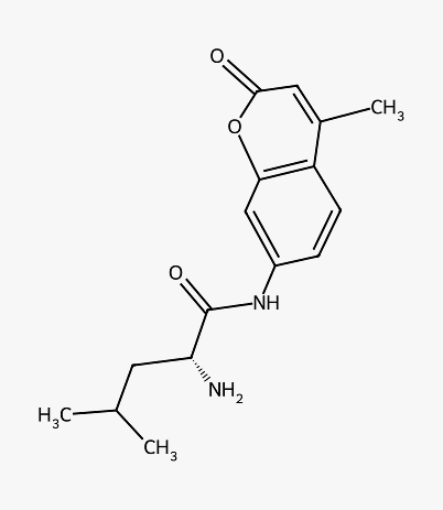 Cc1cc(=O)oc2cc(NC(=O)[C@H](N)CC(C)C)ccc12